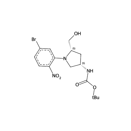 CC(C)(C)OC(=O)N[C@H]1C[C@@H](CO)N(c2cc(Br)ccc2[N+](=O)[O-])C1